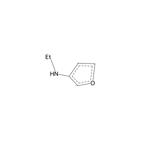 CCNc1[c]occ1